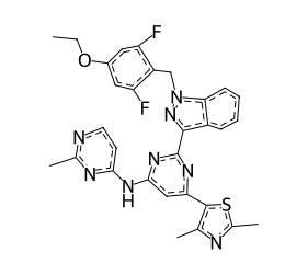 CCOc1cc(F)c(Cn2nc(-c3nc(Nc4ccnc(C)n4)cc(-c4sc(C)nc4C)n3)c3ccccc32)c(F)c1